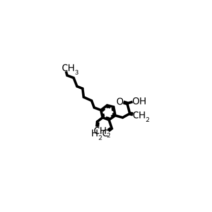 C=Cc1c(CCCCCCCC)ccc(CC(=C)C(=O)O)c1C=C